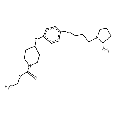 CCNC(=O)N1CCC(Oc2ccc(OCCCN3CCCC3C)cc2)CC1